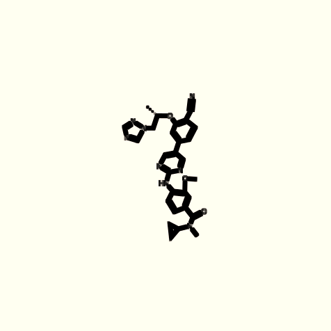 COc1cc(C(=O)N(C)C2CC2)ccc1Nc1ncc(-c2ccc(C#N)c(O[C@@H](C)Cn3cncn3)c2)cn1